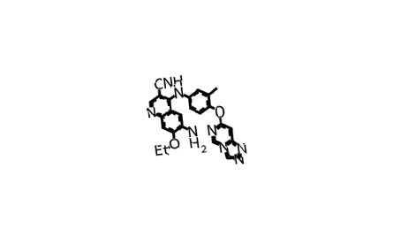 CCOc1cc2ncc(C#N)c(Nc3ccc(Oc4cc5nncn5cn4)c(C)c3)c2cc1N